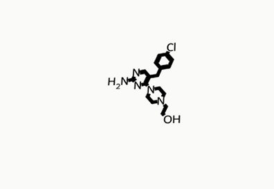 Nc1ncc(Cc2ccc(Cl)cc2)c(N2CCN(CCO)CC2)n1